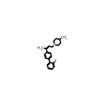 CC(=CCN1CCC(C)CC1)c1ccc(-c2ccccc2F)cc1